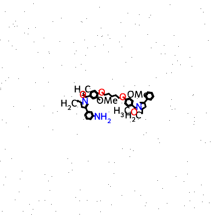 C=CC1CC(c2ccccc2)=CN1C(=O)c1cc(OC)c(OCCCCCOc2cc(C)c(C(=O)N3C=C(c4cccc(N)c4)CC3C=C)cc2OC)cc1C